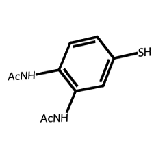 CC(=O)Nc1ccc(S)cc1NC(C)=O